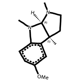 COc1ccc2c(c1)[C@]1(C)CCN(C)[C@@H]1N2C